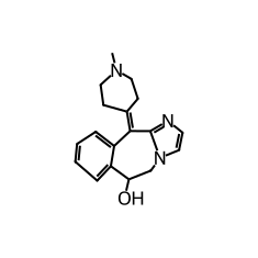 CN1CCC(=C2c3ccccc3C(O)Cn3ccnc32)CC1